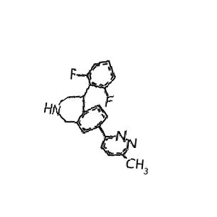 Cc1ccc(-c2ccc3c(c2)CNCCC3c2c(F)cccc2F)nn1